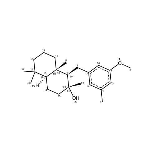 COc1cc(C)cc(C[C@@H]2[C@@]3(C)CCCC(C)(C)[C@@H]3CC[C@@]2(C)O)c1